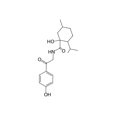 CC1CCC(C(C)C)C(O)(C(=O)NCC(=O)c2ccc(O)cc2)C1